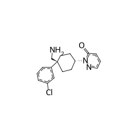 NC[C@]1(c2cccc(Cl)c2)CC[C@@H](n2ncccc2=O)CC1